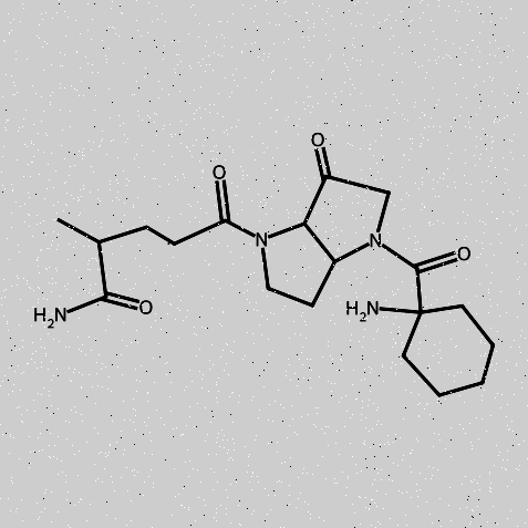 CC(C[CH]C(=O)N1CCC2C1C(=O)CN2C(=O)C1(N)CCCCC1)C(N)=O